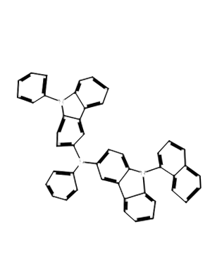 c1ccc(N(c2ccc3c(c2)c2ccccc2n3-c2ccccc2)c2ccc3c(c2)c2ccccc2n3-c2cccc3ccccc23)cc1